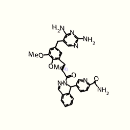 COc1cc(Cc2cnc(N)nc2N)cc(/C=C/C(=O)N2N=Cc3ccccc3C2c2ccc(C(N)=O)nc2)c1OC